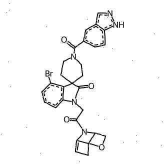 O=C(c1ccc2[nH]ncc2c1)N1CCC2(CC1)C(=O)N(CC(=O)N1C3=CCC34OCC14)c1cccc(Br)c12